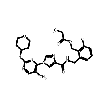 CCC(=O)OCc1c(Cl)cccc1CNC(=O)c1cn(-c2nc(NC3CCOCC3)ncc2C)cn1